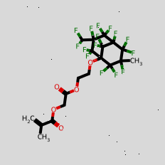 C=C(C)C(=O)OCC(=O)OCCOC12C(F)(F)C(C)(F)C(F)(F)C(F)(C(F)(F)C(F)(C(F)F)C1(F)F)C2(F)F